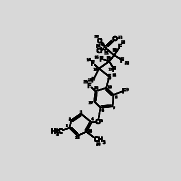 Cc1ccc(Oc2cc(F)c(SC(F)(F)C(F)(F)C(F)(F)S(=O)(=O)Cl)c(F)c2)c(C)c1